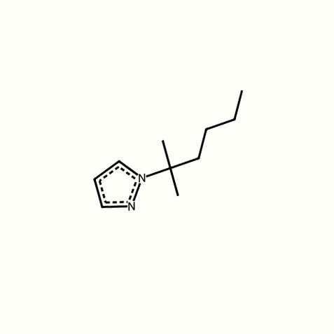 CCCCC(C)(C)n1cccn1